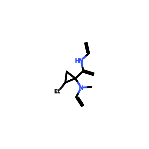 C=CNC(=C)C1(N(C)C=C)CC1CC